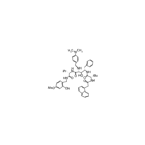 COc1ccc(CNC(=O)[C@@H](NC(=O)[C@H](NCc2ccc(N(C)C)cc2)[C@H](O)[C@H](Cc2ccccc2)NC(=O)[C@@H](NC(=O)Cc2cccc3ccccc23)C(C)(C)C)C(C)C)c(O)c1